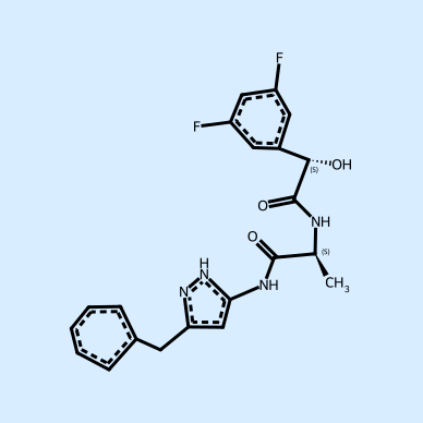 C[C@H](NC(=O)[C@@H](O)c1cc(F)cc(F)c1)C(=O)Nc1cc(Cc2ccccc2)n[nH]1